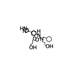 O=C(Nc1ccc(-c2cn[nH]c2)cc1OCCCO)N(CCCO)CC1CCCCC1